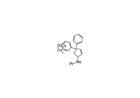 CC(C)NC1C=CC(c2ccccc2)(c2ccccc2)C1.CS(=O)(=O)O